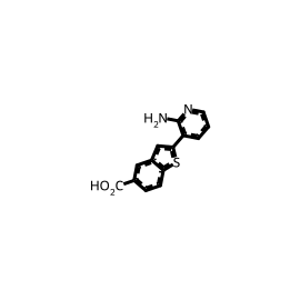 Nc1ncccc1-c1cc2cc(C(=O)O)ccc2s1